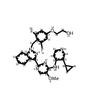 COc1cnc(-c2nn(Cc3c(F)cc(OCCO)cc3F)c3ccccc23)nc1Nc1ccncc1C1CC1